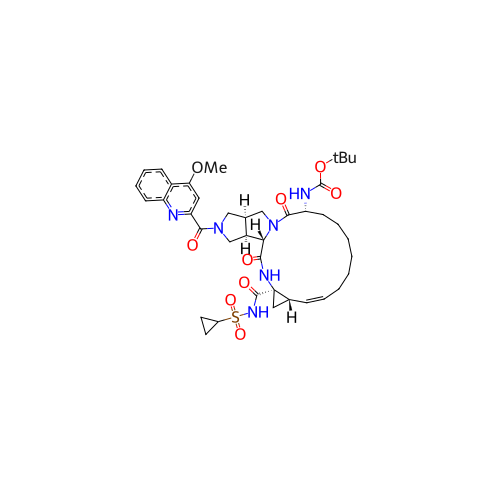 COc1cc(C(=O)N2C[C@H]3CN4C(=O)[C@H](NC(=O)OC(C)(C)C)CCCCCC/C=C\[C@@H]5C[C@@]5(C(=O)NS(=O)(=O)C5CC5)NC(=O)[C@@H]4[C@H]3C2)nc2ccccc12